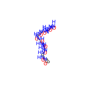 CC(=O)Nc1cn(C)c(C(=O)Nc2cn(C)c(C(=O)Nc3cc(C(=O)Nc4cc(C(=O)NCCCC(=O)Nc5cn(C)c(C(=O)Nc6cn(C)c(C(=O)Nc7ccc8[nH]c(C(=O)N9CC%10CC%10%11C9=CC(=O)c9ccccc9%11)cc8c7)n6)n5)n(C)c4)n(C)c3)n2)n1